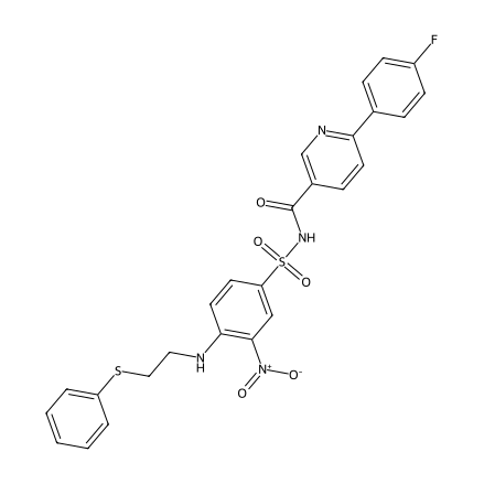 O=C(NS(=O)(=O)c1ccc(NCCSc2ccccc2)c([N+](=O)[O-])c1)c1ccc(-c2ccc(F)cc2)nc1